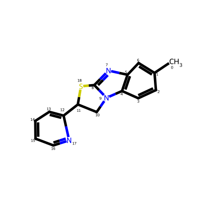 Cc1ccc2c(c1)nc1n2CC(c2ccccn2)S1